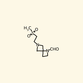 CS(=O)(=O)CCN1CC2(CCN2C=O)C1